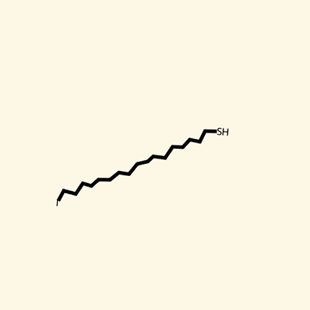 SCCCCCCCCCCCCCCCCCI